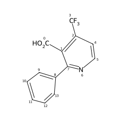 O=C(O)c1c(C(F)(F)F)ccnc1-c1ccccc1